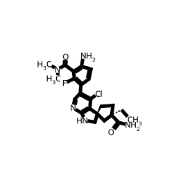 CC[C@@]1(C(N)=O)CC[C@]2(CNc3ncc(-c4ccc(N)c(C(=O)N(C)C)c4F)c(Cl)c32)C1